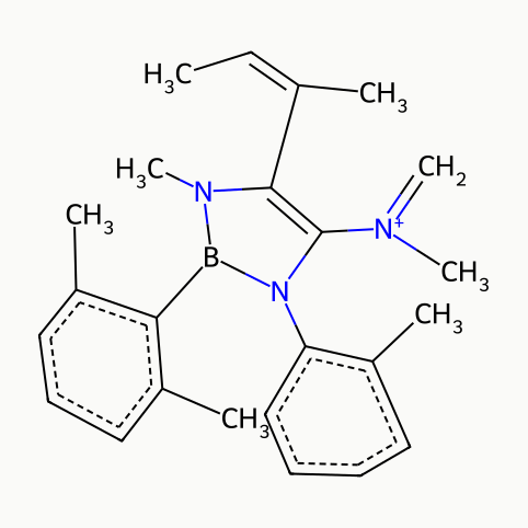 C=[N+](C)C1=C(/C(C)=C\C)N(C)B(c2c(C)cccc2C)N1c1ccccc1C